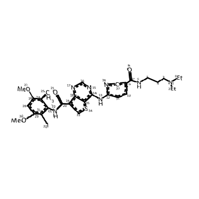 CCN(CC)CCCNC(=O)c1ccc(Nc2ncnc3c(C(=O)Nc4c(C)c(OC)cc(OC)c4I)csc23)nc1